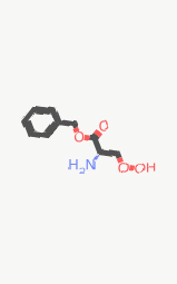 N[C@@H](COO)C(=O)OCc1ccccc1